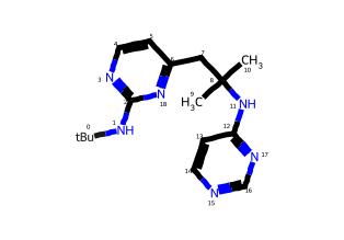 CC(C)(C)Nc1nccc(CC(C)(C)Nc2ccncn2)n1